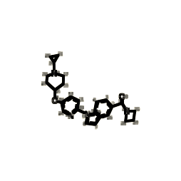 O=C(c1ccc2c(ccn2-c2ccc(OC3CCN(C4CC4)CC3)cn2)c1)N1CCC1